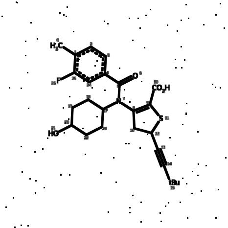 Cc1ccc(C(=O)N(C2=C(C(=O)O)SC(C#CC(C)(C)C)C2)C2CCC(O)CC2)cc1F